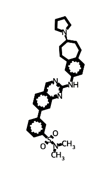 CN(C)S(=O)(=O)c1cccc(-c2ccc3cnc(Nc4ccc5c(c4)CC[C@@H](N4CCCC4)CC5)nc3c2)c1